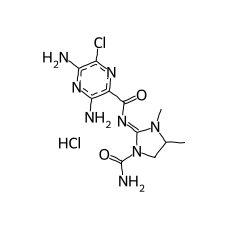 CC1CN(C(N)=O)C(=NC(=O)c2nc(Cl)c(N)nc2N)N1C.Cl